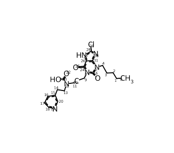 CCCCCn1c(=O)n(CCCN(CCc2cccnc2)C(=O)O)c(=O)c2[nH]c(Cl)nc21